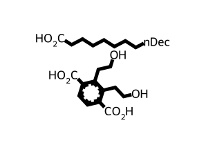 CCCCCCCCCCCCCCCCCC(=O)O.O=C(O)c1ccc(C(=O)O)c(CCO)c1CCO